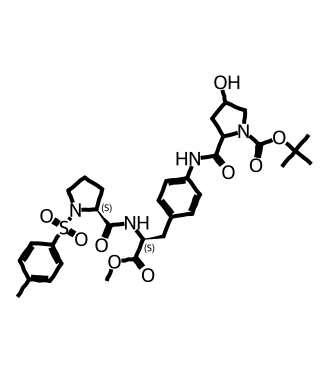 COC(=O)[C@H](Cc1ccc(NC(=O)C2CC(O)CN2C(=O)OC(C)(C)C)cc1)NC(=O)[C@@H]1CCCN1S(=O)(=O)c1ccc(C)cc1